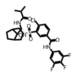 CC(C)C(=O)NC[C@]1(O)C2CCC1C[C@@H](S(=O)(=O)c1cc(C(=O)Nc3cc(F)c(F)c(F)c3)ccc1Cl)C2